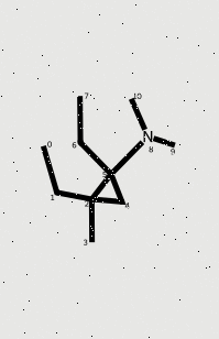 CCC1(C)CC1(CC)N(C)C